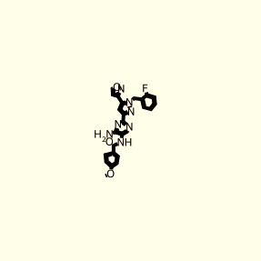 COc1ccc(C(=O)Nc2cnc(-c3cc(-c4ccon4)n(CC4=CC=C=C=C4F)n3)nc2N)cc1